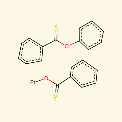 CCOC(=S)c1ccccc1.S=C(Oc1ccccc1)c1ccccc1